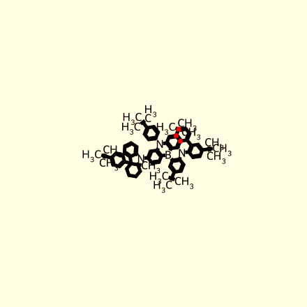 CC(C)(C)c1ccc(N2c3cc(N4c5ccccc5C5(c6ccc(C(C)(C)C)cc6)CCCCC45C)ccc3B3c4cc(C(C)(C)C)ccc4N(c4ccc(C(C)(C)C)cc4-c4ccccc4)c4cc(C(C)(C)C)cc2c43)cc1